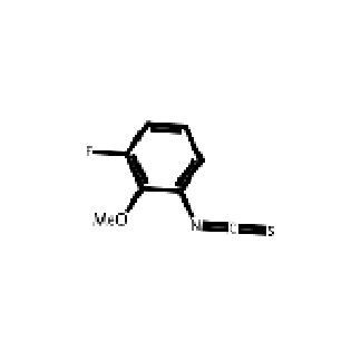 COc1c(F)cccc1N=C=S